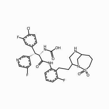 O=C(O)N[C@H](C(=O)Nc1cccc(F)c1CCC1CNC2CCCS(=O)(=O)N1C2)[C@H](c1cncc(F)c1)c1ccc(Cl)c(F)c1